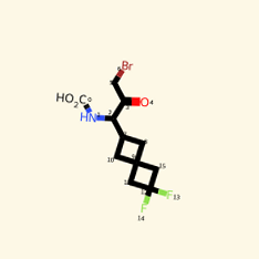 O=C(O)NC(C(=O)CBr)C1CC2(C1)CC(F)(F)C2